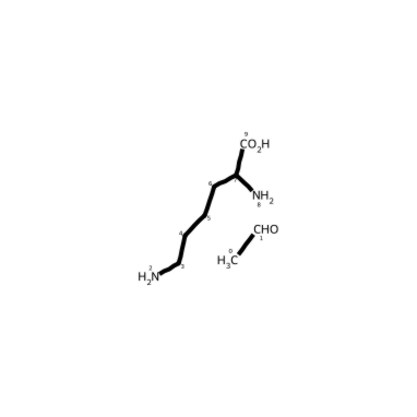 CC=O.NCCCCC(N)C(=O)O